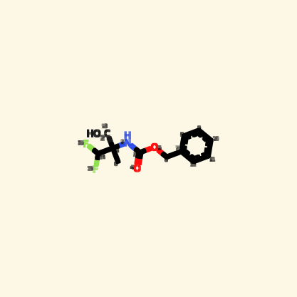 CC(NC(=O)OCc1ccccc1)(C(=O)O)C(F)F